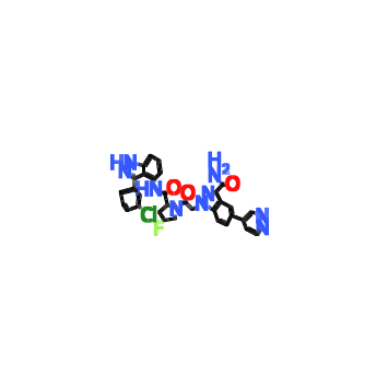 NC(=O)c1nn(CC(=O)N2CC(F)CC2C(=O)Nc2cccc3[nH]nc(-c4cccc(Cl)c4)c23)c2ccc(-c3ccnnc3)cc12